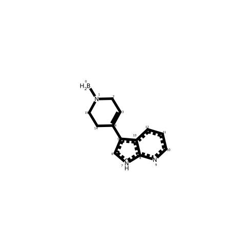 BN1CC=C(c2c[nH]c3ncccc23)CC1